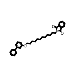 O=C1c2ccccc2C(=O)N1CCCCCCCCCCCCOc1cccc(-c2ccccc2)c1